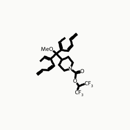 C=C/C=C\C(=C/C)C(OC)(C(/C=C\C=C)=C/C)C1CCN(C(=O)OC(C(F)(F)F)C(F)(F)F)CC1